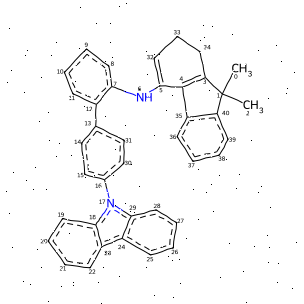 CC1(C)C2=C(C(Nc3ccccc3-c3ccc(-n4c5ccccc5c5ccccc54)cc3)=CCC2)c2ccccc21